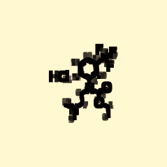 CCOC(=O)N(CCN(C)C)c1cccc(C(F)(F)F)c1.Cl